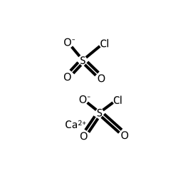 O=S(=O)([O-])Cl.O=S(=O)([O-])Cl.[Ca+2]